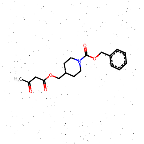 CC(=O)CC(=O)OCC1CCN(C(=O)OCc2ccccc2)CC1